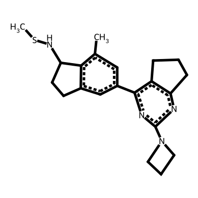 CSNC1CCc2cc(-c3nc(N4CCC4)nc4c3CCC4)cc(C)c21